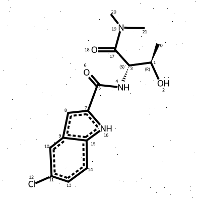 C[C@@H](O)[C@H](NC(=O)c1cc2cc(Cl)ccc2[nH]1)C(=O)N(C)C